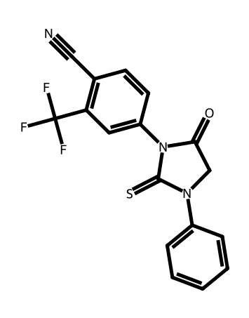 N#Cc1ccc(N2C(=O)CN(c3ccccc3)C2=S)cc1C(F)(F)F